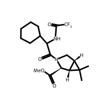 COC(=O)[C@@H]1[C@@H]2[C@H](CN1C(=O)C(NC(=O)C(F)(F)F)C1CCCCC1)C2(C)C